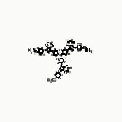 COc1ccc(-c2sc(-c3ccc(N(c4ccc(-c5sc(-c6ccc(OC)cc6)c6c5OCCO6)cc4)c4ccc(-c5sc(-c6ccc(OC)cc6)c6c5OCCO6)cc4)cc3)c3c2OCCO3)cc1